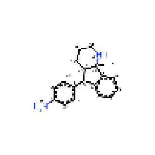 Nc1ccc(C2c3ccccc3[C@H]3NCCC[C@H]23)cc1